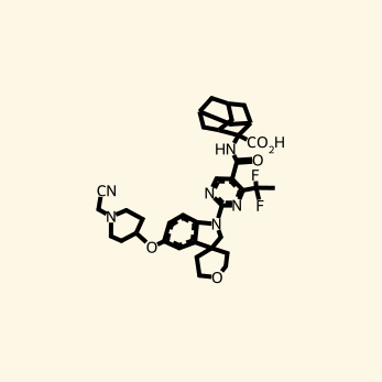 CC(F)(F)c1nc(N2CC3(CCOCC3)c3cc(OC4CCN(CC#N)CC4)ccc32)ncc1C(=O)NC1(C(=O)O)C2CC3CC(C2)CC1C3